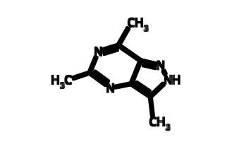 Cc1nc(C)c2n[nH]c(C)c2n1